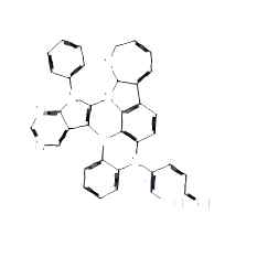 C=C/C=C\C(=C/C)N1c2ccccc2B2c3c1ccc1c3N(c3c2c2cncnc2n3-c2ccccc2)C2NCC=CC=C12